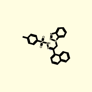 Cc1ccc(S(=O)(=O)N/N=C(\Cn2nnc3ccccc32)c2cccc3ccccc23)cc1